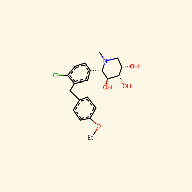 CCOc1ccc(Cc2cc([C@H]3[C@H](O)[C@@H](O)[C@@H](O)CN3C)ccc2Cl)cc1